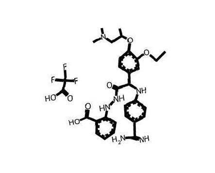 CCOc1cc(C(Nc2ccc(C(=N)N)cc2)C(=O)NNc2ccccc2C(=O)O)ccc1OC(C)CN(C)C.O=C(O)C(F)(F)F